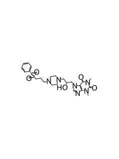 Cn1c(=O)c2c(ncn2CC(O)CN2CCN(CCCS(=O)(=O)c3ccccc3)CC2)n(C)c1=O